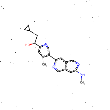 CNc1cc2cnc(-c3cnc([C@@H](O)CC4CC4)cc3C)cc2cn1